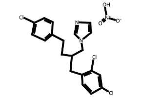 Clc1ccc(CCC(Cc2ccc(Cl)cc2Cl)Cn2ccnc2)cc1.O=[N+]([O-])O